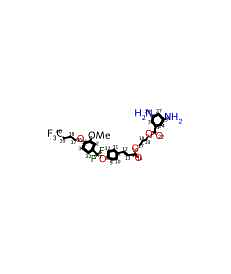 COc1cc(C(F)(F)Oc2ccc(C=CC(=O)OCCCOC(=O)c3cc(N)cc(N)c3)cc2)ccc1OCCCC(F)(F)F